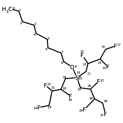 CCCCCCCCC[O][Sn]([CH2]C(F)C(F)CF)([CH2]C(F)C(F)CF)[CH2]C(F)C(F)CF